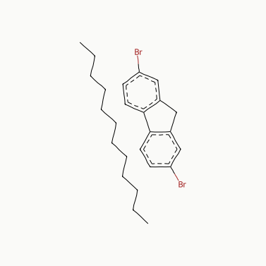 Brc1ccc2c(c1)Cc1cc(Br)ccc1-2.CCCCCCCCCCCC